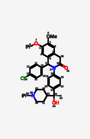 COc1cc2c(cc1OC(C)C)C(c1ccc(Cl)cc1)N(c1ccc([C@@](C)(O)C3CCN(C(C)C)CC3)cc1)C(=O)C2